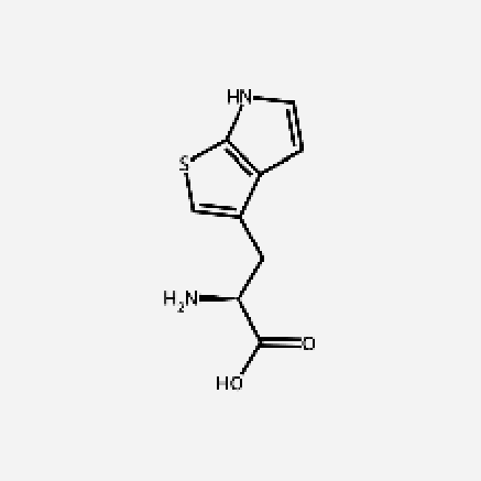 N[C@@H](Cc1csc2[nH]ccc12)C(=O)O